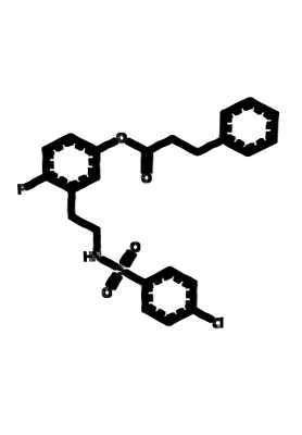 O=C(CCc1ccccc1)Oc1ccc(F)c(CCNS(=O)(=O)c2ccc(Cl)cc2)c1